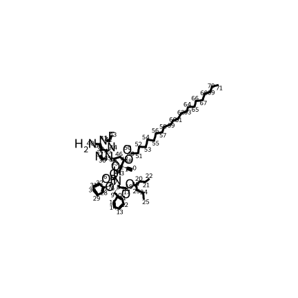 C#C[C@]1(CO[P@@](=O)(N[C@@H](Cc2ccccc2)C(=O)OC(CCC)CCC)Oc2ccccc2)O[C@@H](n2cnc3c(N)nc(F)nc32)C[C@@H]1OC(=O)CCCCCCCCCCCCCCCCCCCCC